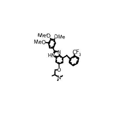 COc1cc(-c2nc3c(Cc4ccccc4C(F)(F)F)cc(OCC(C)N(C)C)cc3[nH]2)cc(OC)c1OC